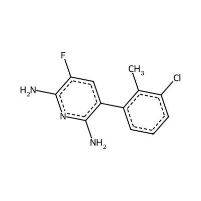 Cc1c(Cl)cccc1-c1cc(F)c(N)nc1N